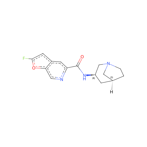 O=C(N[C@@H]1C[C@@H]2CCN(C2)C1)c1cc2cc(F)oc2cn1